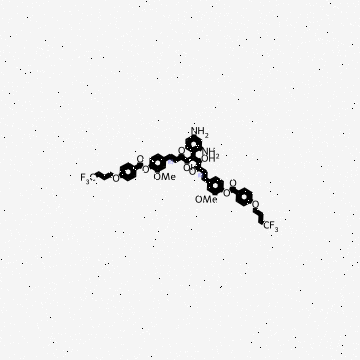 COc1cc(/C=C/C(=O)C(O)C(c2ccc(N)cc2N)C(O)C(=O)/C=C/c2ccc(OC(=O)c3ccc(OCCCC(F)(F)F)cc3)c(OC)c2)ccc1OC(=O)c1ccc(OCCCC(F)(F)F)cc1